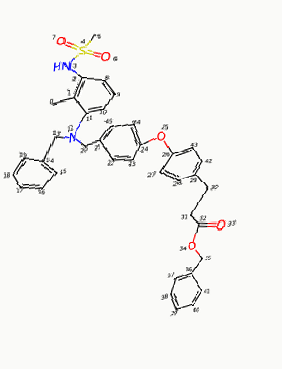 Cc1c(NS(C)(=O)=O)cccc1N(Cc1ccccc1)Cc1ccc(Oc2ccc(CCC(=O)OCc3ccccc3)cc2)cc1